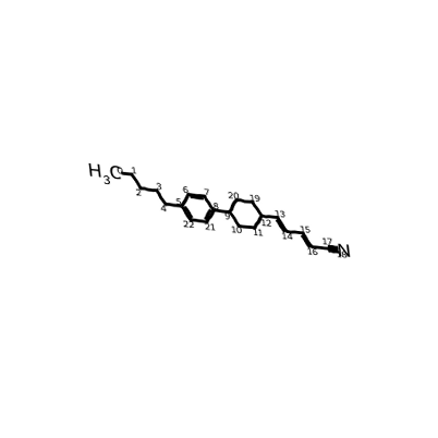 CCCCCc1ccc(C2CCC(C=CC=CC#N)CC2)cc1